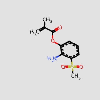 C=C(C)C(=O)Oc1cccc(S(C)(=O)=O)c1N